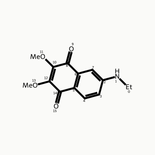 CCNc1ccc2c(c1)C(=O)C(OC)=C(OC)C2=O